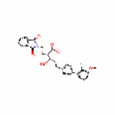 COc1cccc(-c2ccc(CCC(O)C(CCN3C(=O)c4ccccc4C3=O)C(=O)O)cc2)c1F